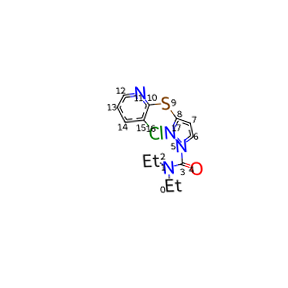 CCN(CC)C(=O)n1ccc(Sc2ncccc2Cl)n1